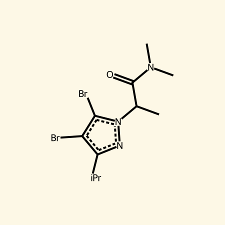 CC(C)c1nn(C(C)C(=O)N(C)C)c(Br)c1Br